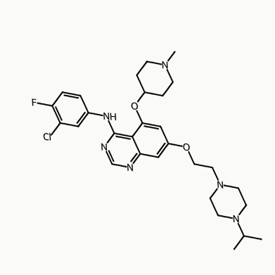 CC(C)N1CCN(CCOc2cc(OC3CCN(C)CC3)c3c(Nc4ccc(F)c(Cl)c4)ncnc3c2)CC1